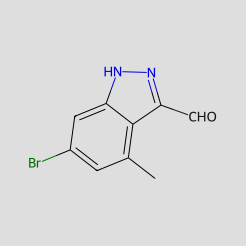 Cc1cc(Br)cc2[nH]nc(C=O)c12